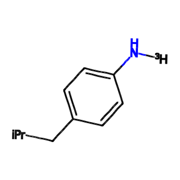 [3H]Nc1ccc(CC(C)C)cc1